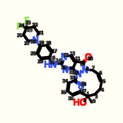 C[C@]1(O)CC/C=C\Cn2c(=O)c3cnc(Nc4ccc(N5CCC(F)(F)CC5)cc4)nc3n2-c2cccc1n2